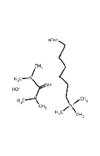 CCCCCCCCCCCCCCCC[N+](C)(C)C.CN(C)C(=N)N(C)C.[OH-]